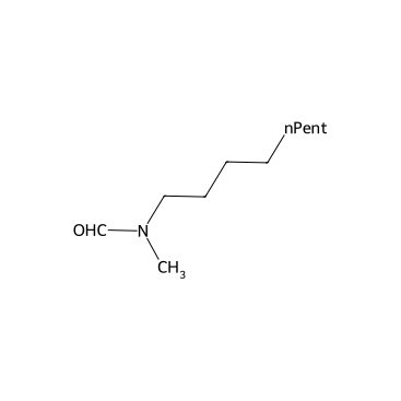 CCCCCCCCCN(C)C=O